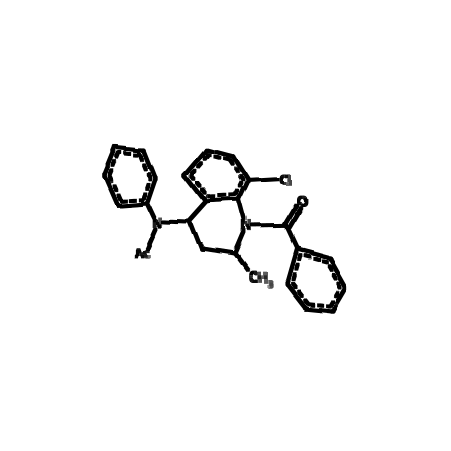 CC(=O)N(c1ccccc1)C1CC(C)N(C(=O)c2ccccc2)c2c(Cl)cccc21